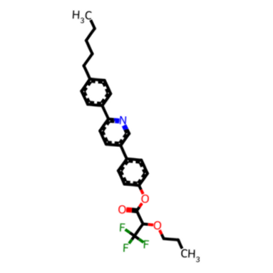 CCCCCc1ccc(-c2ccc(-c3ccc(OC(=O)C(OCCC)C(F)(F)F)cc3)cn2)cc1